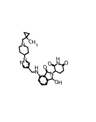 CC1(CN2CCC(n3cc(CNc4cccc5c4C(=O)N(C4CCC(=O)NC4=O)C5O)cn3)CC2)CC1